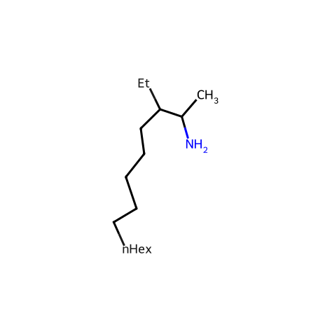 CCCCCCCCCCCC(CC)C(C)N